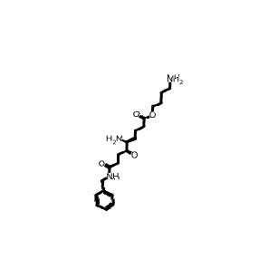 NCCCCOC(=O)CCC=C(N)C(=O)CCC(=O)NCc1ccccc1